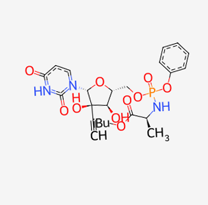 C#C[C@@]1(O)[C@H](O)[C@@H](COP(=O)(N[C@@H](C)C(=O)OC(C)CC)Oc2ccccc2)O[C@H]1n1ccc(=O)[nH]c1=O